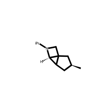 CC(C)N1CC23C[C@@H](C)CC2[C@@H]13